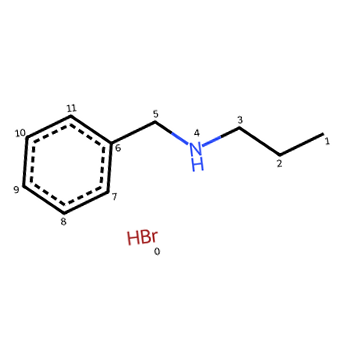 Br.CCCNCc1ccccc1